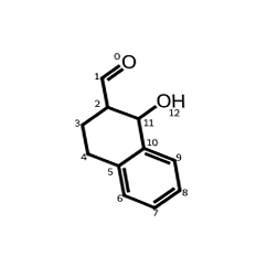 O=CC1CCc2ccccc2C1O